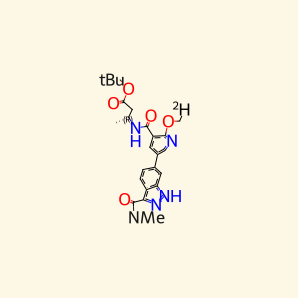 [2H]COc1ncc(-c2ccc3c(C(=O)NC)n[nH]c3c2)cc1C(=O)N[C@H](C)CC(=O)OC(C)(C)C